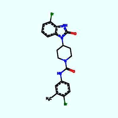 Cc1cc(NC(=O)N2CCC(n3c(=O)[nH]c4c(Br)cccc43)CC2)ccc1Br